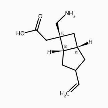 C=CC1C[C@H]2C[C@@](CN)(CC(=O)O)[C@H]2C1